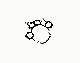 Fc1cccc2c1-c1cc3c(n[nH]c3cn1)-c1cccc(c1)OCCCCOC2